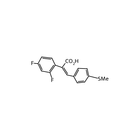 CSc1ccc(/C=C(\C(=O)O)c2ccc(F)cc2F)cc1